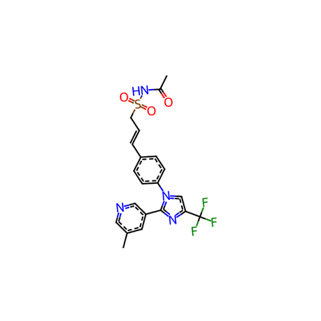 CC(=O)NS(=O)(=O)CC=Cc1ccc(-n2cc(C(F)(F)F)nc2-c2cncc(C)c2)cc1